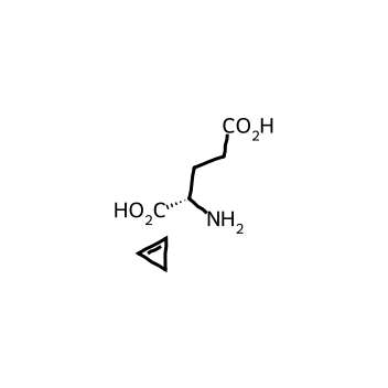 C1=CC1.N[C@@H](CCC(=O)O)C(=O)O